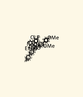 CCOc1ncccc1C1(OC(=O)N2CCN(C3CCN(C)CC3)CC2)C(=O)N(S(=O)(=O)CC(=Cc2ccc(OC)cc2)OC)c2cc(F)c(Cl)cc21